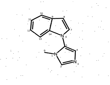 Cn1cncc1-n1ccc2c[c]ccc21